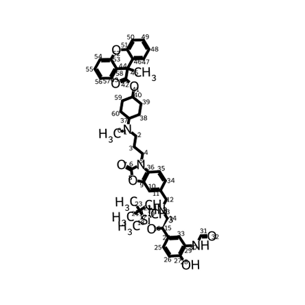 CN(CCCn1c(=O)oc2cc(CNC[C@H](O[Si](C)(C)C(C)(C)C)c3ccc(O)c(NC=O)c3)ccc21)C1CCC(OC(=O)C2(C)c3ccccc3Oc3ccccc32)CC1